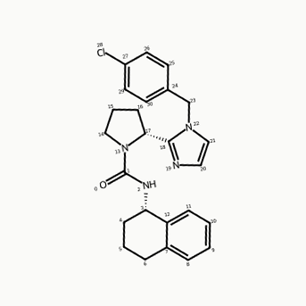 O=C(N[C@H]1CCCc2ccccc21)N1CCC[C@@H]1c1nccn1Cc1ccc(Cl)cc1